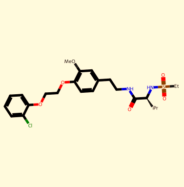 CCS(=O)(=O)N[C@H](C(=O)NCCc1ccc(OCCOc2ccccc2Cl)c(OC)c1)C(C)C